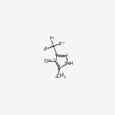 Cc1[nH]cc(C(F)(F)F)c1Cl